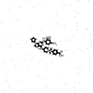 Cl.Cl.NC1CCC(Nc2nc(NC3CCN(S(=O)(=O)c4ccc(C(=O)O)cc4)CC3)c3ncn(C4CCCC4)c3n2)CC1